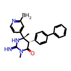 Bc1cc([C@@]2(C)NC(=N)N(C)C(=O)[C@H]2c2ccc(-c3ccccc3)cc2)ccn1